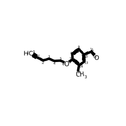 C#CCCCCOc1ccc(C=O)cc1C